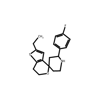 CCc1cc2c(s1)CCOC21CCNC(c2ccc(F)cc2)C1